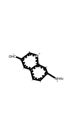 CC(=O)Nc1ccc2cc(C=O)cnc2c1